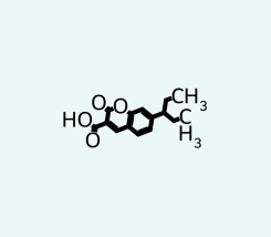 CCC(CC)c1ccc2cc(C(=O)O)c(=O)oc2c1